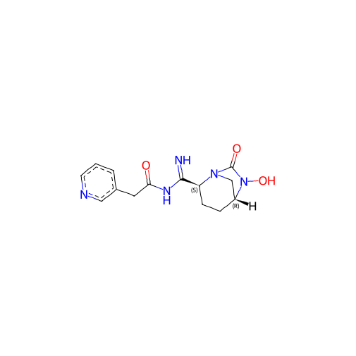 N=C(NC(=O)Cc1cccnc1)[C@@H]1CC[C@@H]2CN1C(=O)N2O